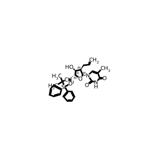 C=CC[C@@H]1[C@H](O)[C@@H](CO[Si](c2ccccc2)(c2ccccc2)C(C)(C)C)O[C@H]1n1cc(C)c(=O)[nH]c1=O